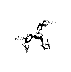 COCC1(F)CCN(c2nc(-c3cnc(N)c(OC(F)F)c3)cc(N3C[C@H](C)OC[C@@H]3C)n2)C1